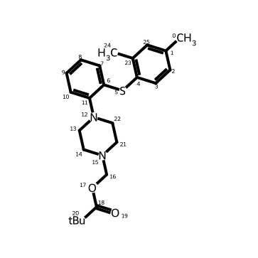 Cc1ccc(Sc2ccccc2N2CCN(COC(=O)C(C)(C)C)CC2)c(C)c1